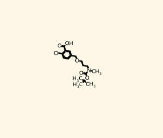 CN(CCCOCc1ccc(Cl)c(C(=O)O)c1)C(=O)OC(C)(C)C